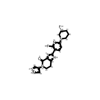 O=C1c2sc(-c3ccc(N4CCC[C@@H](F)C4)nc3F)nc2CCN1c1cnsc1